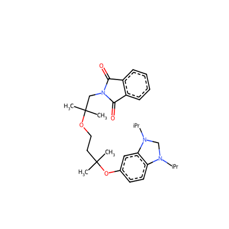 CC(C)N1CN(C(C)C)c2cc(OC(C)(C)CCOC(C)(C)CN3C(=O)c4ccccc4C3=O)ccc21